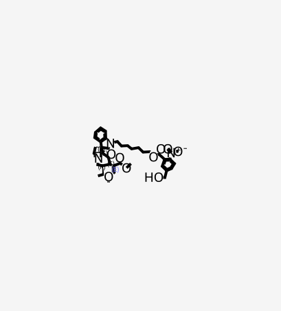 CC[C@H]1CN2CC[C@]3(C(=O)N(CCCCCCCOC(=O)c4cc(CO)ccc4[N+](=O)[O-])c4ccccc43)[C@@H]2C[C@@H]1/C(=C\OC)C(=O)OC